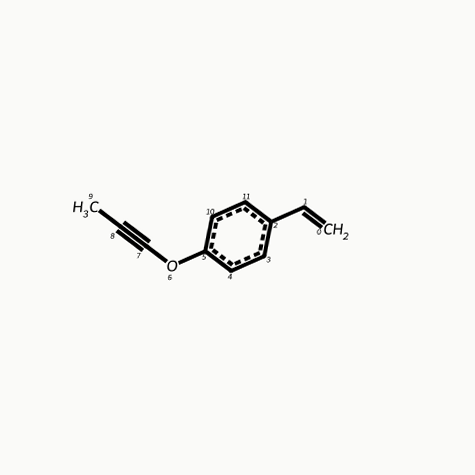 C=Cc1ccc(OC#CC)cc1